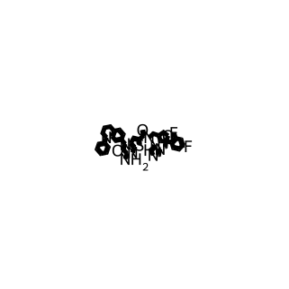 Nc1nc2sc(C(=O)NCC3COC(Cn4cncn4)(c4ccc(F)cc4F)C3)cc2n(-c2ccc3c(c2)N(c2ccccc2)CCC3)c1=O